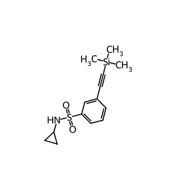 C[Si](C)(C)C#Cc1cccc(S(=O)(=O)NC2CC2)c1